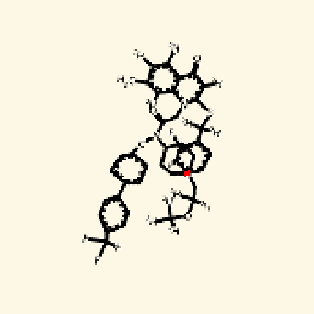 [2H]c1c(C)c([2H])c2c(c1[2H])c(=O)c([2H])c(SC([2H])([2H])c1cccc(F)c1F)n2CC(=O)N(Cc1ccc(-c2ccc(C(F)(F)F)cc2)cc1)C1CCN(CC([2H])([2H])OC([2H])([2H])[2H])CC1